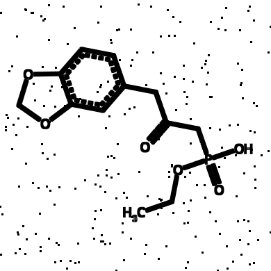 CCOP(=O)(O)CC(=O)Cc1ccc2c(c1)OCO2